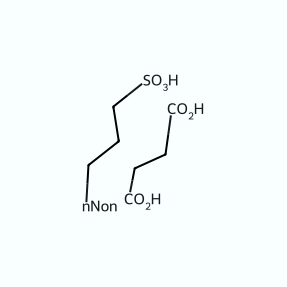 CCCCCCCCCCCCS(=O)(=O)O.O=C(O)CCC(=O)O